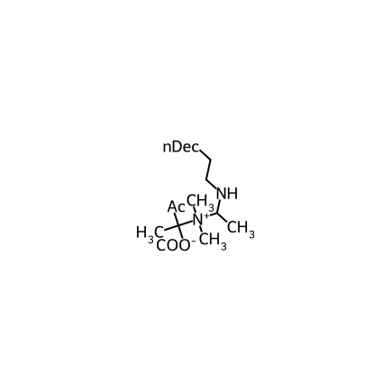 CCCCCCCCCCCCNC(C)[N+](C)(C)C(C)(C(C)=O)C(=O)[O-]